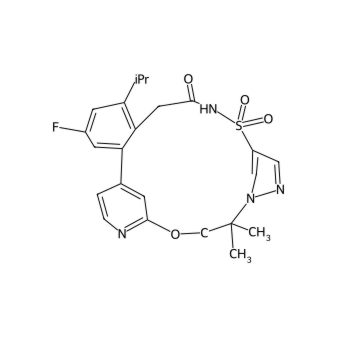 CC(C)c1cc(F)cc2c1CC(=O)NS(=O)(=O)c1cnn(c1)C(C)(C)COc1cc-2ccn1